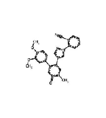 COc1ccc(-c2cc(=O)n(C)cc2-c2cnn(-c3ccccc3C#N)c2)cc1OC